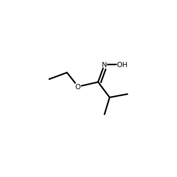 CCOC(=NO)C(C)C